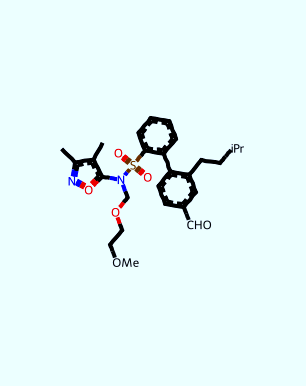 COCCOCN(c1onc(C)c1C)S(=O)(=O)c1ccccc1-c1ccc(C=O)cc1CCC(C)C